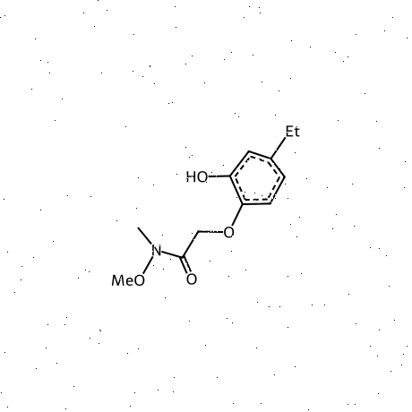 CCc1ccc(OCC(=O)N(C)OC)c(O)c1